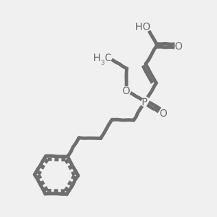 CCOP(=O)(/C=C/C(=O)O)CCCCc1ccccc1